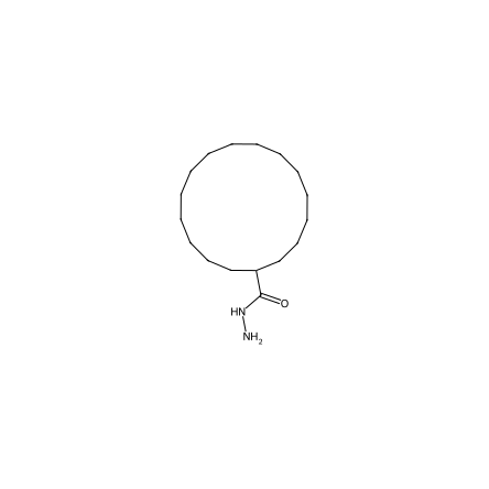 NNC(=O)C1CCCCCCCCCCCCCCC1